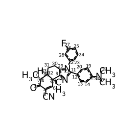 C[C@H]1C(=O)C(C#N)=C[C@@]2(C)c3nc(-c4ccc(N(C)C)cc4)n(-c4cccc(F)c4)c3CC[C@H]12